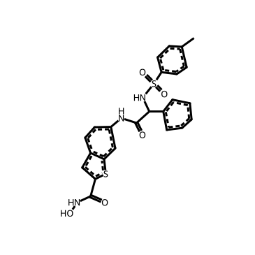 Cc1ccc(S(=O)(=O)NC(C(=O)Nc2ccc3cc(C(=O)NO)sc3c2)c2ccccc2)cc1